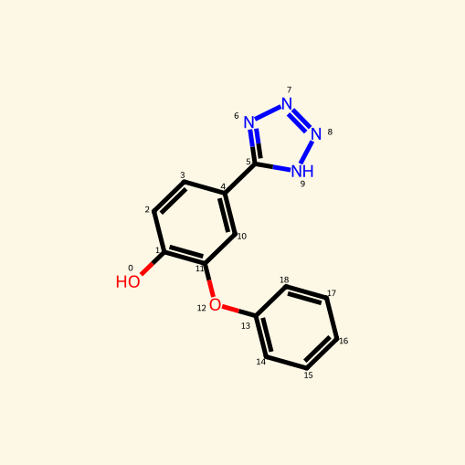 Oc1ccc(-c2nnn[nH]2)cc1Oc1ccccc1